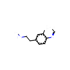 C/C=N\c1ccc(CCNC(C)C)cc1C